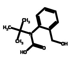 CC(C)(C)N(C(=O)O)c1ccccc1CO